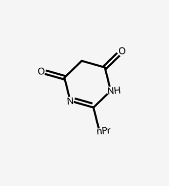 CCCC1=NC(=O)CC(=O)N1